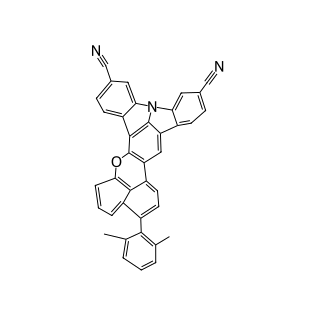 Cc1cccc(C)c1-c1ccc2c3cc4c5ccc(C#N)cc5n5c6cc(C#N)ccc6c(c3oc3cccc1c32)c45